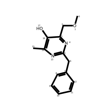 COCc1nc(Cc2ccccc2)nc(C)c1O